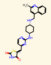 Cc1cc(CN[C@H]2CC[C@H](Nc3nccc(/C=C4\SC(=O)NC4=O)n3)CC2)c2ccccc2n1